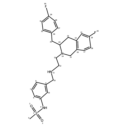 CS(=O)(=O)Nc1cccc(CNCCN2Cc3ccc(F)cc3CC2Cc2ccc(F)cc2)c1